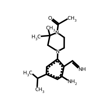 CC(=O)N1CCN(c2cc(C(C)C)cc(N)c2C=N)CC1(C)C